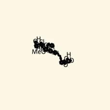 C=C(C(=O)Nc1cc(Nc2ncc(Cl)c(Nc3ccccc3P(C)(C)=O)n2)c(OC)cc1N1CCC(N2CCN(CCCC#Cc3cccc4c3CN(C3CCC(=O)NC3=O)C4=O)CC2)CC1)c1ccccc1